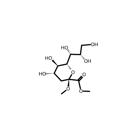 COC(=O)[C@]1(OC)C[C@H](O)[C@@H](O)[C@H]([C@H](O)[C@@H](O)CO)O1